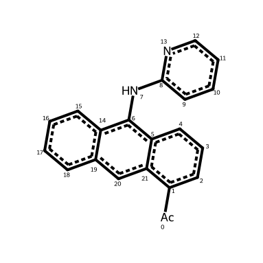 CC(=O)c1cccc2c(Nc3ccccn3)c3ccccc3cc12